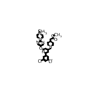 COC(=O)CC1CCN(Cc2cc(Oc3cnc(N4CCN(C)CC4)nc3)nc(-c3cc(Cl)cc(Cl)c3)c2)CC1